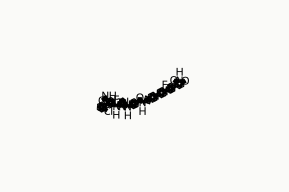 NC(=O)c1ccc(Nc2nc(Nc3ccc(C(=O)NC4CC5(CCN(C6CCN(c7ccc(C8CCC(=O)NC8=O)cc7F)CC6)CC5)C4)cc3)ncc2F)cc1-c1ccccc1Cl